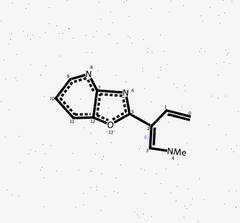 C=C/C(=C\NC)c1nc2ncccc2o1